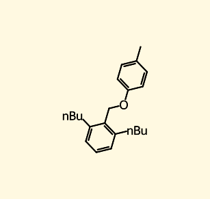 CCCCc1cccc(CCCC)c1COc1ccc(C)cc1